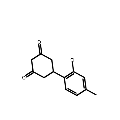 O=C1CC(=O)CC(c2ccc(I)cc2Cl)C1